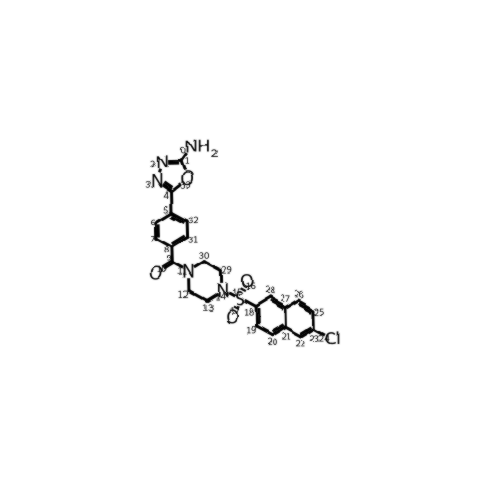 Nc1nnc(-c2ccc(C(=O)N3CCN(S(=O)(=O)c4ccc5cc(Cl)ccc5c4)CC3)cc2)o1